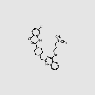 CN(C)CCCNc1nc(CN2CCN(C(=O)Nc3cc(Cl)ccc3Cl)CC2)nc2ccccc12